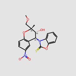 COC[C@@]1(C)Oc2ccc([N+](=O)[O-])cc2[C@H](n2c(=S)oc3ccccc32)[C@H]1O